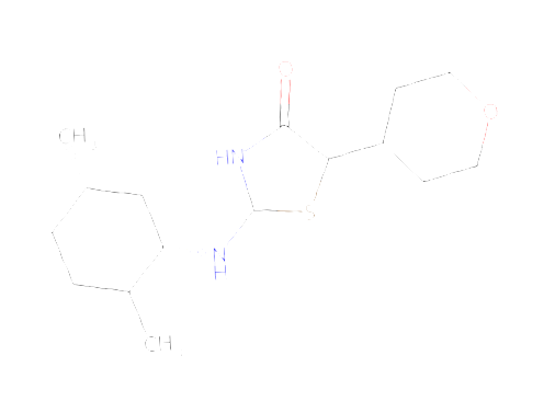 CC1CC[C@H](C)C[C@@H]1NC1NC(=O)C(C2CCOCC2)S1